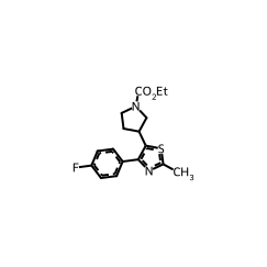 CCOC(=O)N1CCC(c2sc(C)nc2-c2ccc(F)cc2)C1